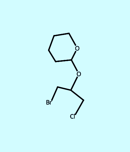 ClCC(CBr)OC1CCCCO1